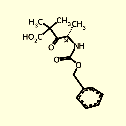 C[C@H](NC(=O)OCc1ccccc1)C(=O)C(C)(C)C(=O)O